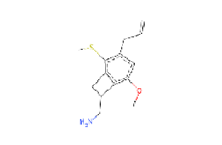 C=CCc1cc(OC)c2c(c1SC)CC2CN